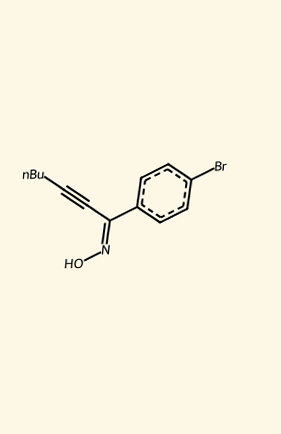 CCCCC#C/C(=N\O)c1ccc(Br)cc1